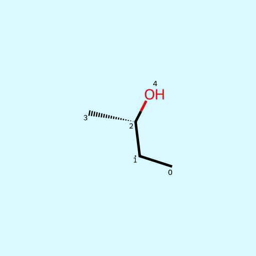 C[CH][C@H](C)O